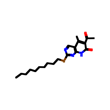 CCCCCCCCCCSc1ncc2c(C)c(C(C)=O)c(=O)[nH]c2n1